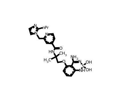 CCCc1nccn1Cc1cc(C(=O)NC(C)(C)COc2cccc3c2C(N)=NS(O)(O)N3)ccn1